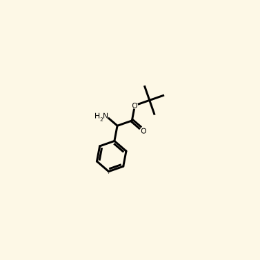 CC(C)(C)OC(=O)C(N)c1cc[c]cc1